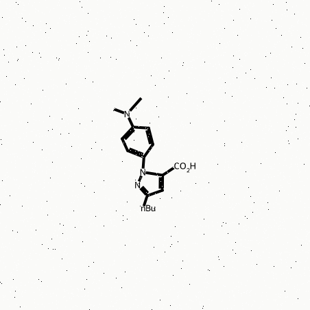 CCCCc1cc(C(=O)O)n(-c2ccc(N(C)C)cc2)n1